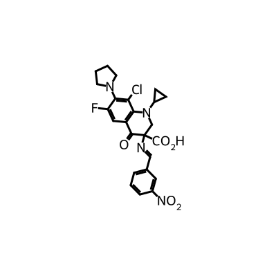 O=C(O)C1(N=Cc2cccc([N+](=O)[O-])c2)CN(C2CC2)c2c(cc(F)c(N3CCCC3)c2Cl)C1=O